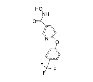 O=C(NO)c1ccc(Oc2ccc(C(F)(F)F)cc2)nc1